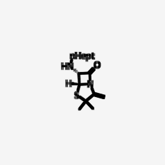 C=C1N2C(=O)[C@@H](NCCCCCCC)[C@H]2SC1(C)C